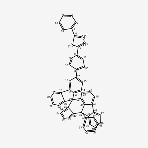 c1ccc(-c2nnc(-c3ccc(-c4ccc5c(c4)-c4ccccc4C54c5ccccc5C5(c6ccccc6)c6ccccc6-c6cccc4c65)cc3)s2)cc1